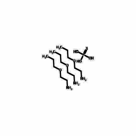 CCCOCCN.CCCOCCN.CCCOCCN.OP(O)(O)=S